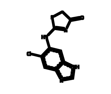 O=C1CSC(Nc2cc3[nH]cnc3cc2Cl)=N1